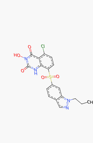 CCCn1ncc2ccc(S(=O)(=O)c3ccc(Cl)c4c(=O)n(O)c(=O)[nH]c34)cc21